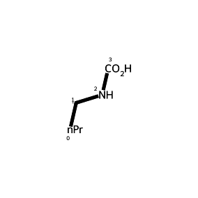 CCC[CH]NC(=O)O